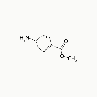 COC(=O)C1=CCC(N)C=C1